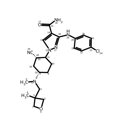 CN(CC1(C)COC1)[C@H]1CCC(n2cc(C(N)=O)c(Nc3ccc(Cl)cc3)n2)[C@@H](C#N)C1